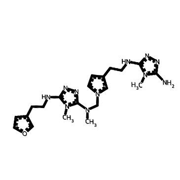 CN(Cn1ccc(CCNc2nnc(N)n2C)c1)c1nnc(NCCc2ccoc2)n1C